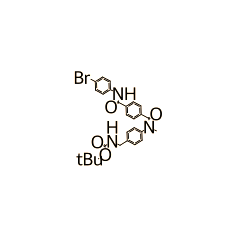 CN(C(=O)c1ccc(C(=O)Nc2ccc(Br)cc2)cc1)c1ccc(CNC(=O)OC(C)(C)C)cc1